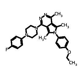 CCOc1ccc(-n2c(C)c3c(C)nnc(N4CCN(c5ccc(F)cc5)CC4)c3c2C)cc1